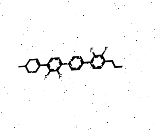 CCCc1ccc(-c2ccc(-c3ccc(C4=CCC(C)CC4)c(F)c3F)cc2)c(F)c1F